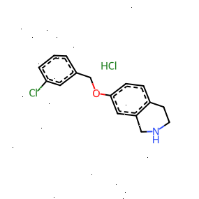 Cl.Clc1cccc(COc2ccc3c(c2)CNCC3)c1